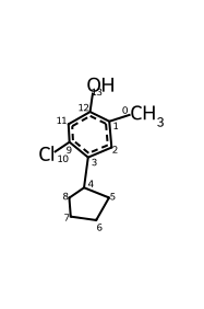 Cc1cc(C2CCCC2)c(Cl)cc1O